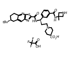 CC1(NC(=O)c2cccc([C@@H](CCN3CCC(C(=O)O)CC3)NC(=O)c3nc4cc5c(nc4s3)CC[C@H](C(C)(C)C)C5)c2)CNC1.O=C(O)C(F)(F)F